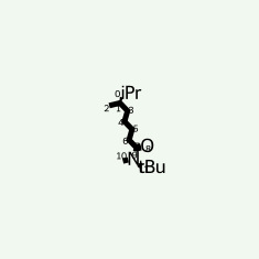 CC(C)[C@H](C)CCCCC(=O)N(C)C(C)(C)C